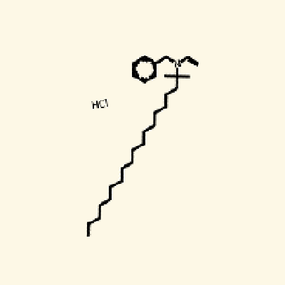 C=CN(Cc1ccccc1)C(C)(C)CCCCCCCCCCCCCCCCC.Cl